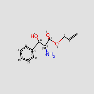 C=CCOC(=O)[C@@H](N)C(O)c1ccccc1